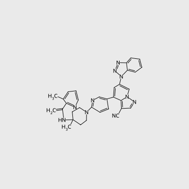 C=C(NC1(C)CCN(c2ccc(-c3cc(-n4nnc5ccccc54)cn4ncc(C#N)c34)cn2)CC1)c1ncccc1C